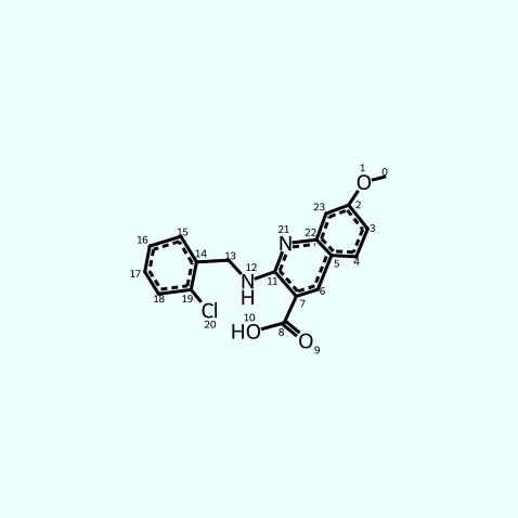 COc1ccc2cc(C(=O)O)c(NCc3ccccc3Cl)nc2c1